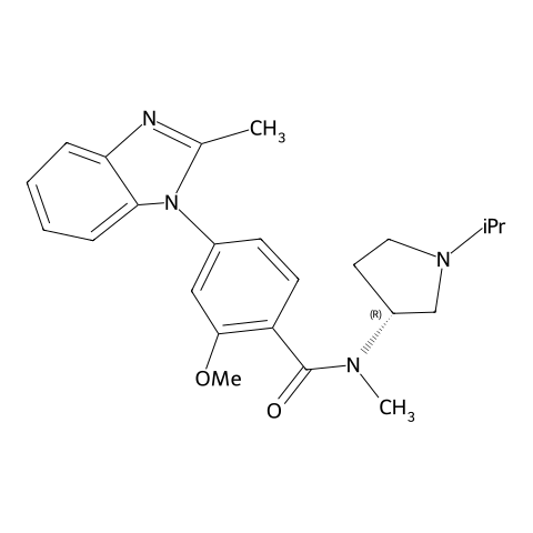 COc1cc(-n2c(C)nc3ccccc32)ccc1C(=O)N(C)[C@@H]1CCN(C(C)C)C1